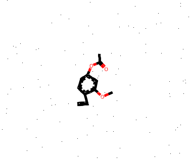 C=Cc1ccc(OC(C)=O)cc1OC